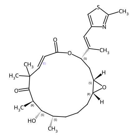 CC(=Cc1csc(C)n1)[C@@H]1C[C@@H]2O[C@@H]2CCC[C@H](C)[C@H](O)[C@@H](C)C(=O)C(C)(C)/C=C/C(=O)O1